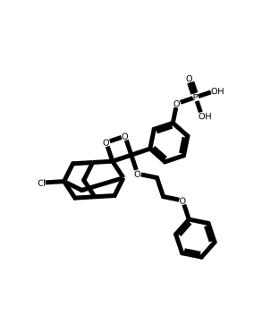 O=P(O)(O)Oc1cccc(C2(OCCOc3ccccc3)OOC23C2CC4CC3CC(Cl)(C4)C2)c1